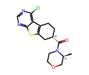 C[C@H]1COCCN1C(=O)[C@H]1CCc2c(sc3ncnc(Cl)c23)C1